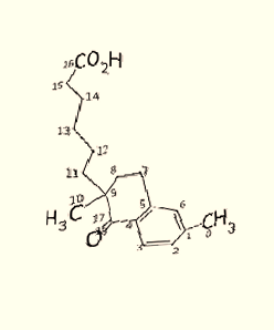 Cc1ccc2c(c1)CCC(C)(CCCCCC(=O)O)C2=O